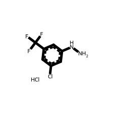 Cl.NNc1cc(Cl)cc(C(F)(F)F)c1